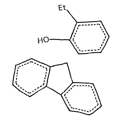 CCc1ccccc1O.c1ccc2c(c1)Cc1ccccc1-2